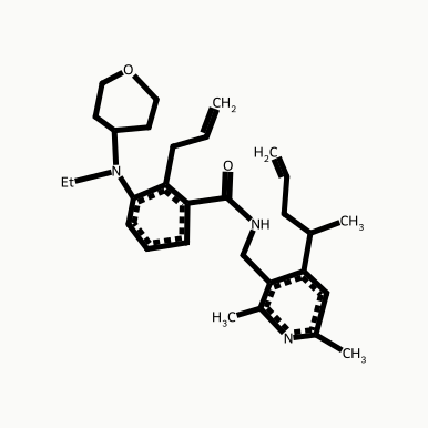 C=CCc1c(C(=O)NCc2c(C(C)CC=C)cc(C)nc2C)cccc1N(CC)C1CCOCC1